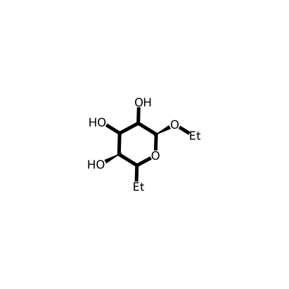 CCO[C@H]1OC(CC)[C@@H](O)C(O)C1O